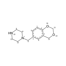 c1cc2c(cc1CN1CCNCC1)COCO2